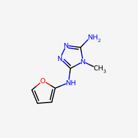 Cn1c(N)nnc1Nc1ccco1